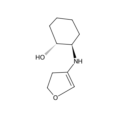 O[C@@H]1CCCC[C@H]1NC1=COCC1